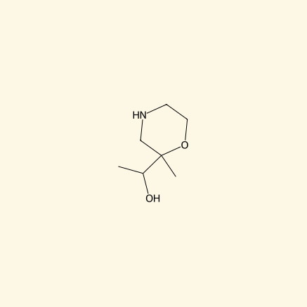 CC(O)C1(C)CNCCO1